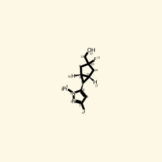 CC(C)n1nc(I)cc1[C@H]1[C@@H]2CC(F)(CO)C[C@@H]21